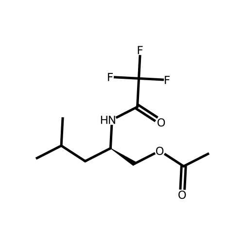 CC(=O)OC[C@@H](CC(C)C)NC(=O)C(F)(F)F